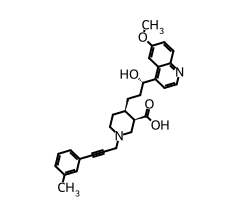 COc1ccc2nccc([C@@H](O)CC[C@@H]3CCN(CC#Cc4cccc(C)c4)C[C@@H]3C(=O)O)c2c1